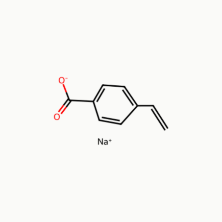 C=Cc1ccc(C(=O)[O-])cc1.[Na+]